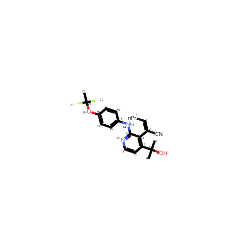 CCC/C=C(/C#N)c1c(C(C)(C)O)ccnc1Nc1ccc(OC(C)(F)F)cc1